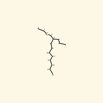 [CH2]CCCC(CCC)CCCCCCCC